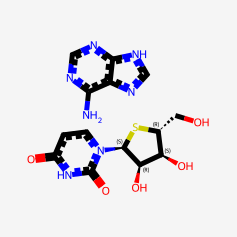 Nc1ncnc2[nH]cnc12.O=c1ccn([C@H]2S[C@H](CO)[C@@H](O)[C@H]2O)c(=O)[nH]1